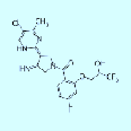 CC1=N/C(=C2\CN(C(=O)c3ccc(F)cc3OCC(O)C(F)(F)F)CC2=N)NC=C1Cl